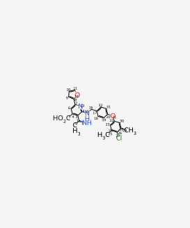 CC(=N)c1c(C(=O)O)cc(-c2ccco2)nc1NCc1ccc(Oc2cc(C)c(Cl)c(C)c2)cc1